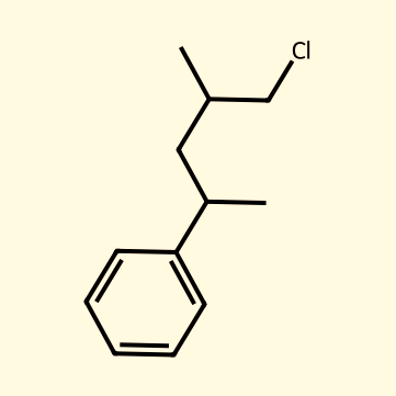 CC(CCl)CC(C)c1ccccc1